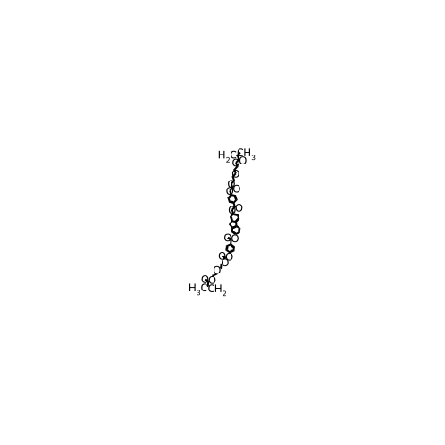 C=C(C)C(=O)OCCOCCOC(=O)Oc1ccc(C(=O)Oc2ccc3c(c2)Cc2cc(OC(=O)c4ccc(OC(=O)OCCOCCOC(=O)C(=C)C)cc4)ccc2-3)cc1